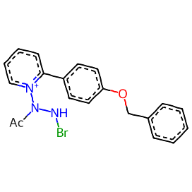 CC(=O)N(NBr)[n+]1ccccc1-c1ccc(OCc2ccccc2)cc1